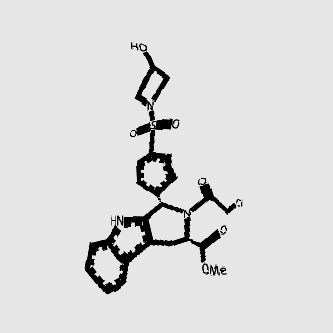 COC(=O)[C@H]1Cc2c([nH]c3ccccc23)[C@H](c2ccc(S(=O)(=O)N3CC(O)C3)cc2)N1C(=O)CCl